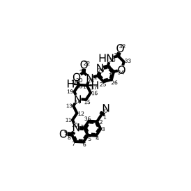 N#Cc1ccc2ccc(=O)n(CCCN3CC[C@@H]4[C@H](C3)OC(=O)N4c3ccc4c(n3)NC(=O)CO4)c2c1